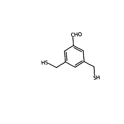 O=Cc1cc(CS)cc(CS)c1